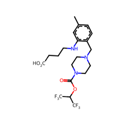 Cc1ccc(CN2CCN(C(=O)OC(C(F)(F)F)C(F)(F)F)CC2)c(NCCCC(=O)O)c1